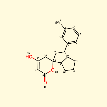 CC(C)c1cccc(CCC2(C3CCCC3)CC(O)=CC(=O)O2)c1